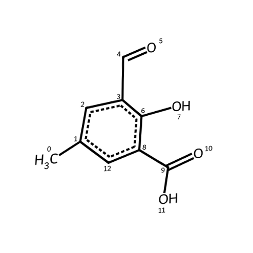 Cc1cc(C=O)c(O)c(C(=O)O)c1